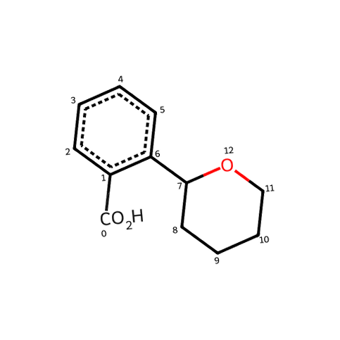 O=C(O)c1ccccc1C1CCCCO1